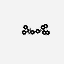 c1ccc(-c2nc3ccc(-c4ccc(-n5c6ccc7ccccc7c6c6c7ccccc7ccc65)cc4)cc3nc2-c2ccccc2)cc1